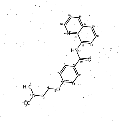 CN(C)CCOc1ccc(C(=O)Nc2cccc3cccnc23)cc1